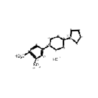 Cl.O=C(O)c1ccc(N2CCC(N3CCCC3)CC2)cc1[N+](=O)[O-]